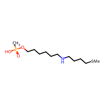 CSCCCCNCCCCCCOP(C)(=O)O